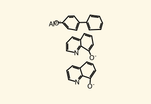 [Al+3].[O-]c1ccc(-c2ccccc2)cc1.[O-]c1cccc2cccnc12.[O-]c1cccc2cccnc12